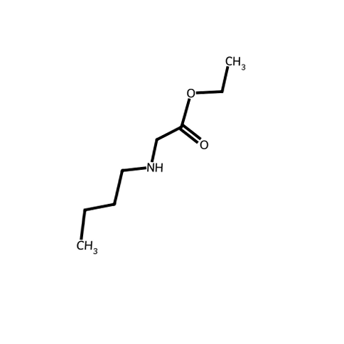 CCCCNCC(=O)OCC